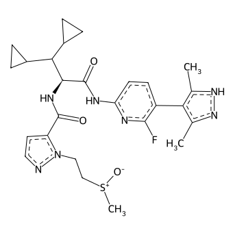 Cc1n[nH]c(C)c1-c1ccc(NC(=O)[C@@H](NC(=O)c2ccnn2CC[S+](C)[O-])C(C2CC2)C2CC2)nc1F